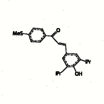 CSc1ccc(C(=O)/C=C/c2cc(C(C)C)c(O)c(C(C)C)c2)cc1